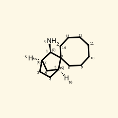 N[C@@H]1[C@@H]2CC[C@@H](C2)C12CCCCCCC2